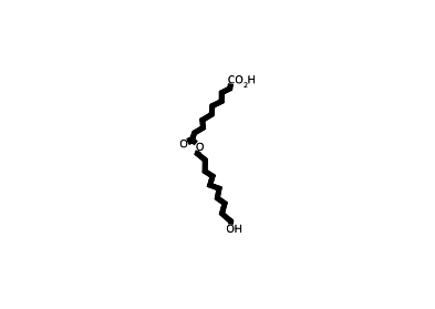 O=C(O)CCCCCCCCC(=O)OCCCCCCCCCCO